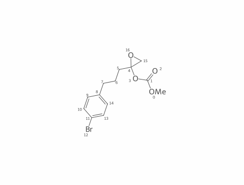 COC(=O)OC1(CCCc2ccc(Br)cc2)CO1